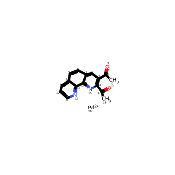 CC(=O)c1cc2ccc3cccnc3c2nc1C(C)=O.[Pd+2]